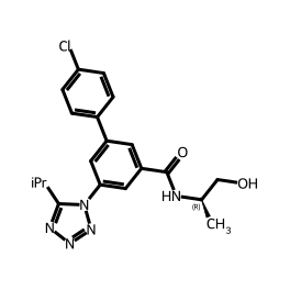 CC(C)c1nnnn1-c1cc(C(=O)N[C@H](C)CO)cc(-c2ccc(Cl)cc2)c1